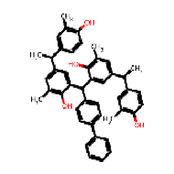 Cc1cc(C(C)c2cc(C)c(O)c(C(c3ccc(-c4ccccc4)cc3)c3cc(C(C)c4ccc(O)c(C)c4)cc(C)c3O)c2)ccc1O